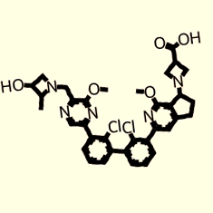 COc1nc(-c2cccc(-c3cccc(-c4cc5c(c(OC)n4)C(N4CC(C(=O)O)C4)CC5)c3Cl)c2Cl)cnc1CN1CC(O)C1C